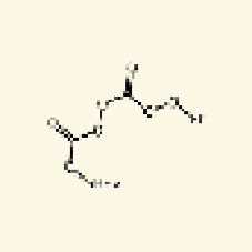 CCCCCCOC(=O)OOC(=O)OOCC